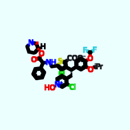 CC(C)Oc1cc([C@H](Cc2c(Cl)c[n+](O)cc2Cl)c2cc(CNC(C(=O)O[C@H]3CN4CCC3CC4)c3ccccc3)sc2C(=O)[O-])ccc1OC(F)F